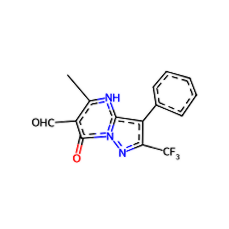 Cc1[nH]c2c(-c3ccccc3)c(C(F)(F)F)nn2c(=O)c1C=O